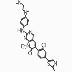 CCn1c(=O)c(-c2ccc(-c3cnc(C)s3)cc2Cl)cc2cnc(Nc3ccc(N(C)CCN(C)C)cc3)nc21